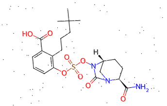 CC(C)(C)CCCc1c(OS(=O)(=O)ON2C(=O)N3C[C@H]2CC[C@H]3C(N)=O)cccc1C(=O)O